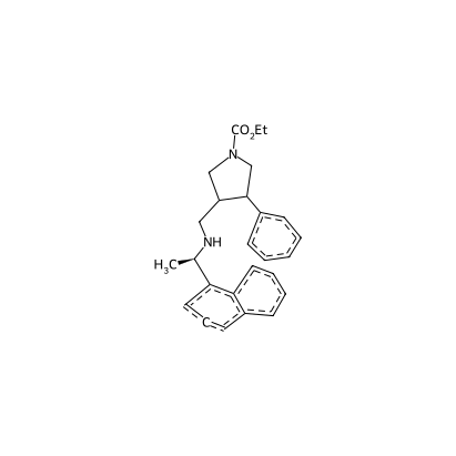 CCOC(=O)N1CC(CN[C@H](C)c2cccc3ccccc23)C(c2ccccc2)C1